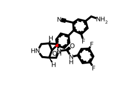 N#Cc1cc(CN)cc(F)c1-c1ccc([C@]2(O)[C@@H]3CNC[C@H]2CN(C(=O)Nc2cc(F)cc(F)c2)C3)cc1